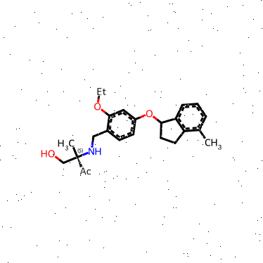 CCOc1cc(OC2CCc3c(C)cccc32)ccc1CN[C@@](C)(CO)C(C)=O